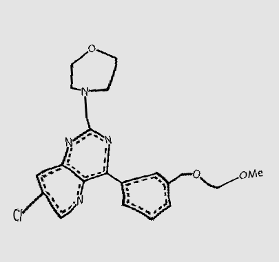 COCOc1cccc(-c2nc(N3CCOCC3)nc3cc(Cl)cnc23)c1